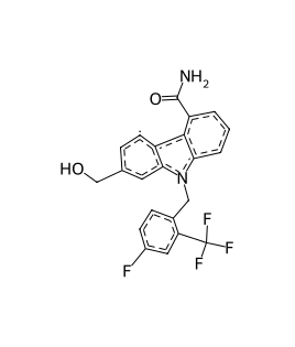 NC(=O)c1cccc2c1c1[c]cc(CO)cc1n2Cc1ccc(F)cc1C(F)(F)F